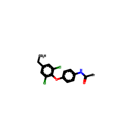 CC(C)C(=O)Nc1ccc(Oc2c(Cl)cc(CC(=O)O)cc2Cl)cc1